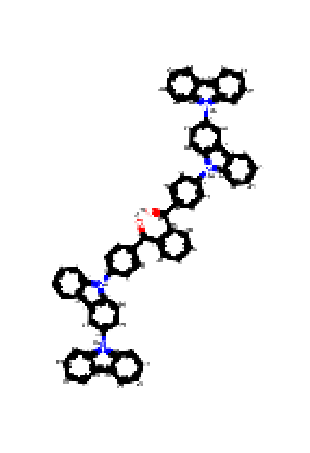 O=C(c1ccc(-n2c3ccccc3c3cc(-n4c5ccccc5c5ccccc54)ccc32)cc1)c1ccccc1C(=O)c1ccc(-n2c3ccccc3c3cc(-n4c5ccccc5c5ccccc54)ccc32)cc1